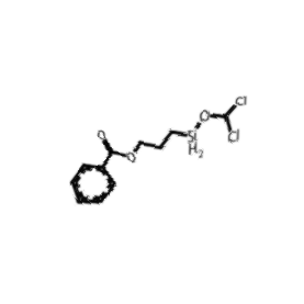 O=C(OCCC[SiH2]OC(Cl)Cl)c1ccccc1